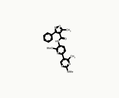 CNc1ncc(-c2ccc(NC(=O)c3c(-c4ccccc4)noc3C)c(OC)n2)c(C)n1